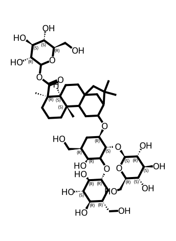 CC1(C)CC23CC[C@@H]4[C@](C)(C(=O)OC5O[C@H](CO)[C@@H](O)[C@H](O)[C@H]5O)CCC[C@@]4(C)C2CC(O[C@@H]2C[C@H](CO)[C@@H](O)C(O[C@@H]4C[C@H](CO)[C@@H](O)[C@H](O)[C@H]4O)[C@H]2O[C@@H]2O[C@H](CO)[C@@H](O)[C@H](O)[C@H]2O)C1C3